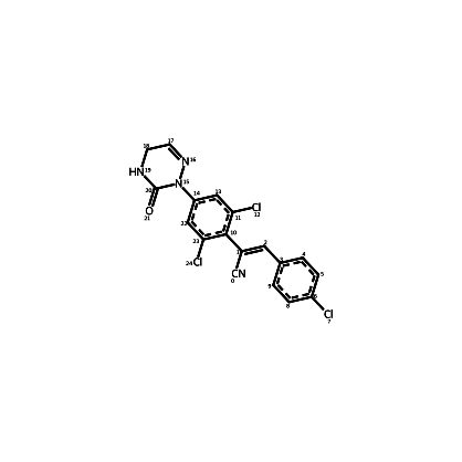 N#CC(=Cc1ccc(Cl)cc1)c1c(Cl)cc(N2N=CCNC2=O)cc1Cl